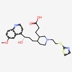 COc1ccc2nccc([C@@H](O)CCC3CCN(CCSc4nccs4)CC3CCC(=O)O)c2c1